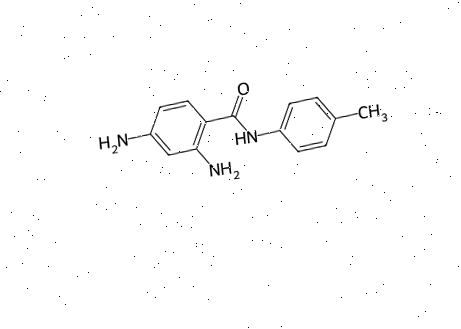 Cc1ccc(NC(=O)c2ccc(N)cc2N)cc1